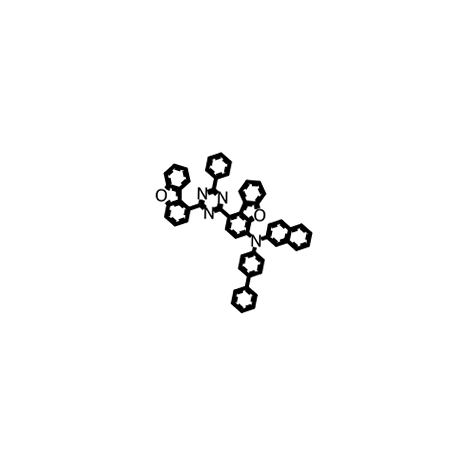 c1ccc(-c2ccc(N(c3ccc4ccccc4c3)c3ccc(-c4nc(-c5ccccc5)nc(-c5cccc6oc7ccccc7c56)n4)c4c3oc3ccccc34)cc2)cc1